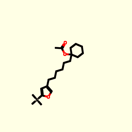 CC(=O)OC1(CCCCCCc2coc([Si](C)(C)C)c2)CCCCC1